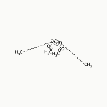 C=COC(=O)CC(CCCCCCCCCCCCCCCCC)OC(=O)/C=C\C(=O)OC(CCCCCCCCCCCCCCCCC)CC(=O)OC=C